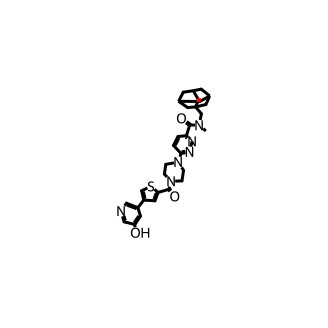 CN(CC12CC3CC(CC(C3)C1)C2)C(=O)c1ccc(N2CCN(C(=O)c3cc(-c4cncc(O)c4)cs3)CC2)nn1